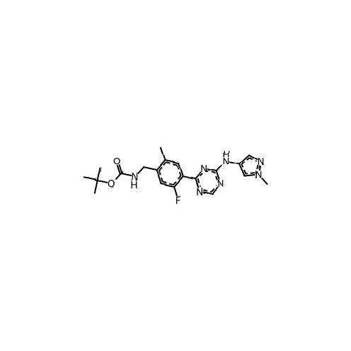 Cc1cc(-c2ncnc(Nc3cnn(C)c3)n2)c(F)cc1CNC(=O)OC(C)(C)C